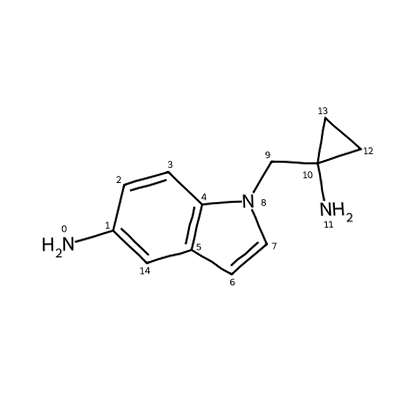 Nc1ccc2c(ccn2CC2(N)CC2)c1